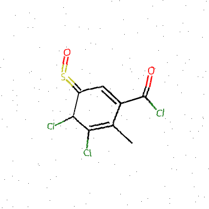 CC1=C(Cl)C(Cl)C(=S=O)C=C1C(=O)Cl